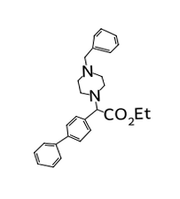 CCOC(=O)C(c1ccc(-c2ccccc2)cc1)N1CCN(Cc2ccccc2)CC1